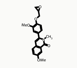 COc1ccc2cc(-c3ccc(OCC4CO4)c(OC)c3)n(C)c(=O)c2c1